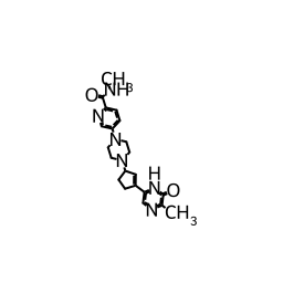 CNC(=O)c1ccc(N2CCN(C3C=C(c4cnc(C)c(=O)[nH]4)CC3)CC2)cn1